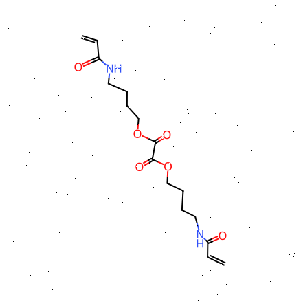 C=CC(=O)NCCCCOC(=O)C(=O)OCCCCNC(=O)C=C